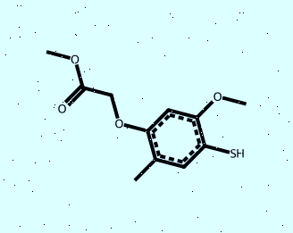 COC(=O)COc1cc(OC)c(S)cc1C